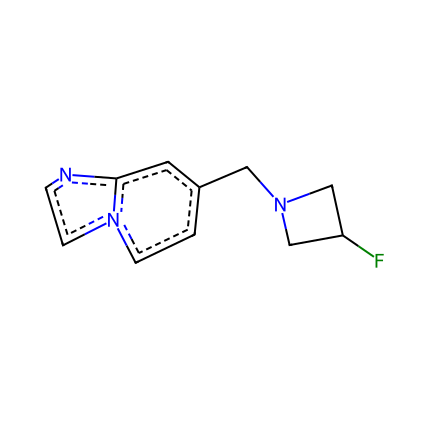 FC1CN(Cc2ccn3ccnc3c2)C1